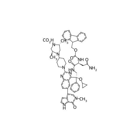 C[C@@H]1CN(C2CCN(c3nc([C@@](CNC(=O)[C@H](CC(N)=O)NC(=O)OCC4c5ccccc5-c5ccccc54)(OC4CC4)c4ccccc4)c4cc(-c5cn(C)c(=O)c6[nH]ccc56)ccc4n3)CC2)[C@@H](C)CN1C(=O)O